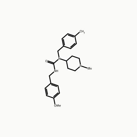 COc1ccc(CNC(=O)N(Cc2ccc(C)cc2)C2CCN(C(C)(C)C)CC2)cc1